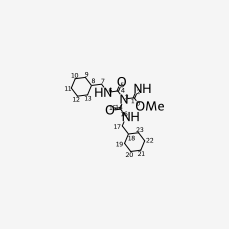 COC(=N)N(C(=O)NCC1CCCCC1)C(=O)NCC1CCCCC1